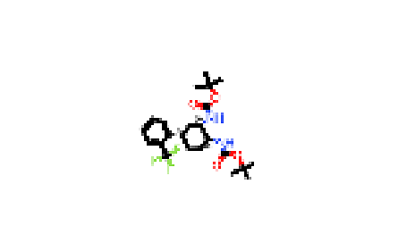 CC(C)(C)OC(=O)N[C@H]1CC[C@H](c2ccccc2C(F)(F)F)C[C@@H]1NC(=O)OC(C)(C)C